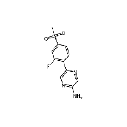 CS(=O)(=O)c1ccc(-c2cnc(N)cn2)c(F)c1